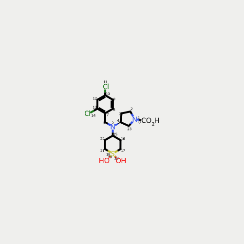 O=C(O)N1CC[C@H](N(Cc2ccc(Cl)cc2Cl)C2CCS(O)(O)CC2)C1